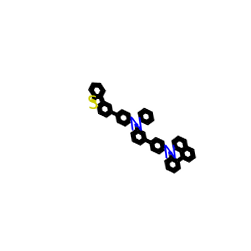 c1ccc(N(c2ccc(-c3ccc4sc5ccccc5c4c3)cc2)c2cccc(-c3ccc(N4c5ccccc5-c5cccc6cccc4c56)cc3)c2)cc1